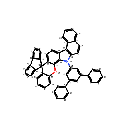 c1ccc(-c2cc(-c3ccccc3)cc(-n3c4ccc5ccccc5c4c4ccc5c(c43)Oc3ccccc3C53c4ccccc4-c4ccccc43)c2)cc1